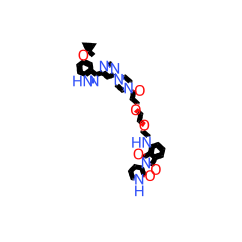 CC1(Oc2ccc3[nH]nc(-c4cc(N5CCN(C(=O)CCOCCOCCNc6cccc7c6C(=O)N(C6CCCNC6=O)C7=O)CC5)ncn4)c3c2)CC1